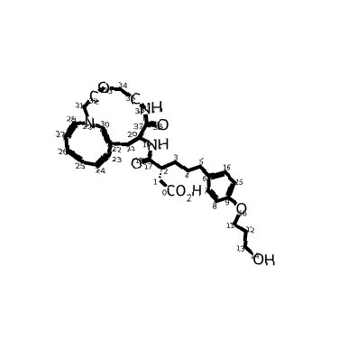 O=C(O)C[C@@H](CCCc1ccc(OCCCO)cc1)C(=O)NC1Cc2ccccccn(c2)CCOCCNC1=O